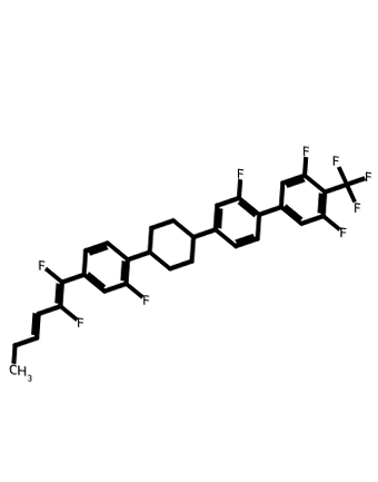 CC/C=C/C(F)=C(\F)c1ccc(C2CCC(c3ccc(-c4cc(F)c(C(F)(F)F)c(F)c4)c(F)c3)CC2)c(F)c1